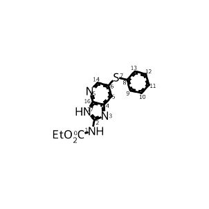 CCOC(=O)Nc1nc2cc(Sc3ccccc3)cnc2[nH]1